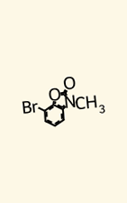 Cn1c(=O)oc2c(Br)cccc21